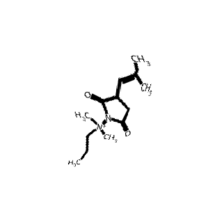 CCC[N+](C)(C)N1C(=O)CC(C=C(C)C)C1=O